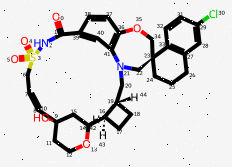 O=C1NS(=O)(=O)C/C=C\[C@]2(O)CCO[C@@H](C2)[C@@H]2CC[C@H]2CN2C[C@@]3(CCCc4cc(Cl)ccc43)COc3ccc1cc32